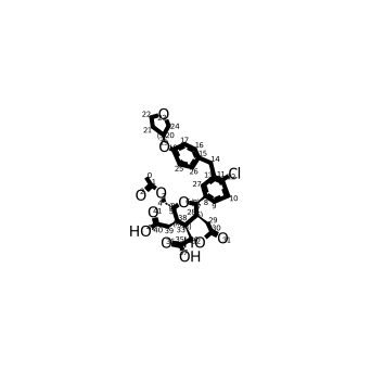 CC(=O)OC[C@@H]1O[C@@H](c2ccc(Cl)c(Cc3ccc(O[C@H]4CCOC4)cc3)c2)[C@@H](CC(=O)O)[C@@H](CC(=O)O)[C@H]1CC(=O)O